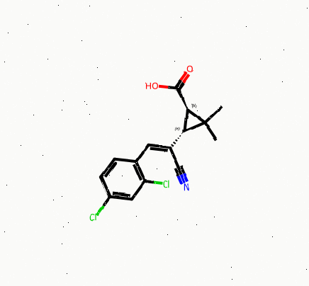 CC1(C)[C@H](C(=O)O)[C@H]1C(C#N)=Cc1ccc(Cl)cc1Cl